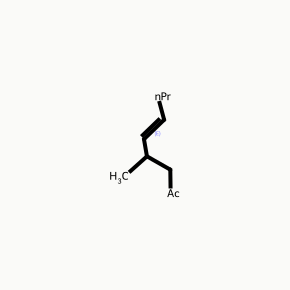 CCC/C=C/C(C)CC(C)=O